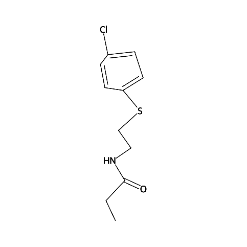 CCC(=O)NCCSc1ccc(Cl)cc1